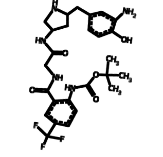 CC(C)(C)OC(=O)Nc1ccc(C(F)(F)F)cc1C(=O)NCC(=O)NC1CNC(Cc2ccc(O)c(N)c2)C1